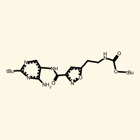 CC(C)(C)OC(=O)NCCc1cc(C(=O)Nc2cnc(C(C)(C)C)nc2N)no1